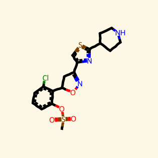 CS(=O)(=O)Oc1cccc(Cl)c1C1CC(c2csc(C3CCNCC3)n2)=NO1